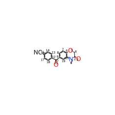 CN1C(=O)COc2ccc(C(=O)c3ccc(C#N)cc3)cc21